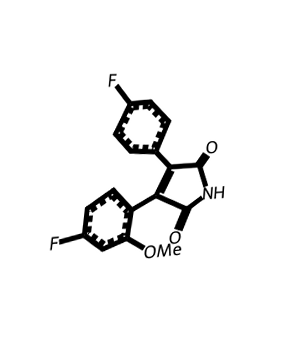 COc1cc(F)ccc1C1=C(c2ccc(F)cc2)C(=O)NC1=O